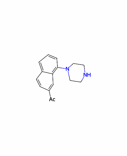 CC(=O)c1ccc2cccc(N3CCNCC3)c2c1